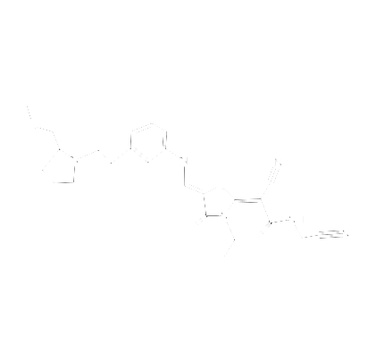 CCn1c(=C(C#N)C(=O)NCC#N)sc(=CNc2cccc(CCN3CCCC3CSC)c2)c1=O